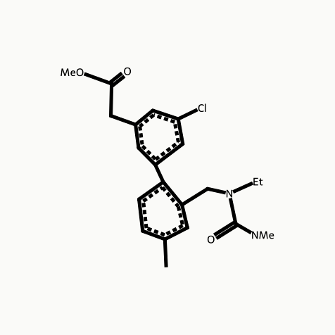 CCN(Cc1cc(C)ccc1-c1cc(Cl)cc(CC(=O)OC)c1)C(=O)NC